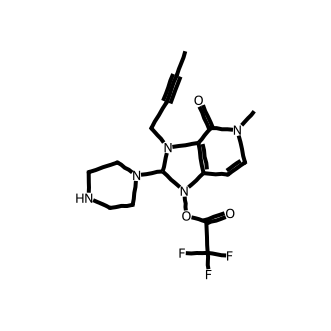 CC#CCN1c2c(ccn(C)c2=O)N(OC(=O)C(F)(F)F)C1N1CCNCC1